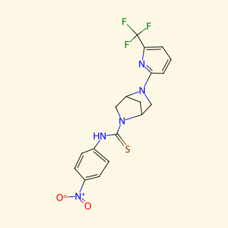 O=[N+]([O-])c1ccc(NC(=S)N2CC3CC2CN3c2cccc(C(F)(F)F)n2)cc1